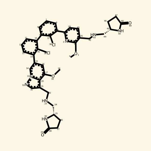 COc1nc(-c2cccc(-c3cccc(-c4cc(OC)c5c(CNC[C@@H]6CCC(=O)N6)cnn5c4)c3Cl)c2Cl)ccc1CNC[C@@H]1CCC(=O)N1